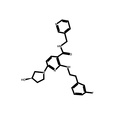 O=C(NCc1cccnc1)c1ccc(N2CC[C@@H](O)C2)nc1NCCc1cccc(F)c1